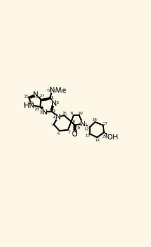 CNc1nc(N2CCCC3(CCN([C@H]4CC[C@H](O)CC4)C3=O)C2)nc2[nH]cnc12